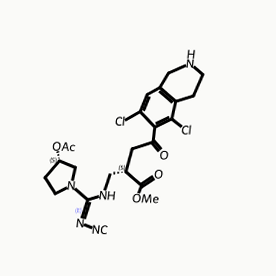 [C-]#[N+]/N=C(\NC[C@H](CC(=O)c1c(Cl)cc2c(c1Cl)CCNC2)C(=O)OC)N1CC[C@H](OC(C)=O)C1